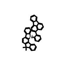 CC1(C)c2ccccc2-c2c1ccc1c3ccccc3n(-c3ccccc3-c3ccc4c5c(cccc35)-c3ccccc3-4)c21